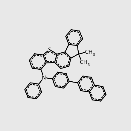 CC1(C)c2ccccc2-c2c1ccc1c2sc2cccc(N(c3ccccc3)c3ccc(-c4ccc5ccccc5c4)cc3)c21